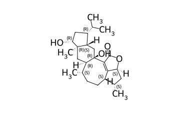 CC(C)[C@H]1C[C@@H](O)[C@]2(C)C[C@@H]3[C@@H](C)CC[C@@H]4C5=C(C(=O)O[C@H]5C[C@@H]4C)[C@@]3(O)C[C@@H]12